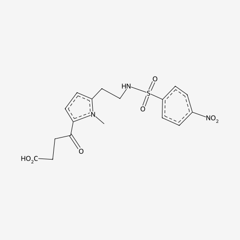 Cn1c(CCNS(=O)(=O)c2ccc([N+](=O)[O-])cc2)ccc1C(=O)CCC(=O)O